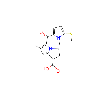 CSc1ccc(C(=O)c2c(C)cc3n2CCC3C(=O)O)n1C